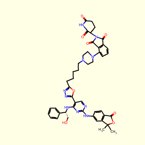 CC1(C)OC(=O)c2ccc(Nc3ncc(-c4nnc(CCCCCN5CCN(c6cccc7c6C(=O)N(C6CCC(=O)NC6=O)C7=O)CC5)o4)c(N[C@H](CO)c4ccccc4)n3)cc21